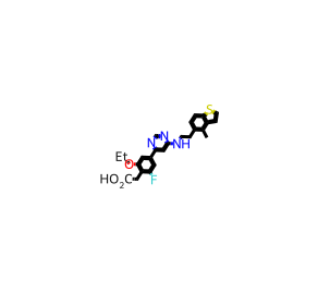 CCOc1cc(-c2cc(NCCc3ccc4sccc4c3C)ncn2)cc(F)c1CC(=O)O